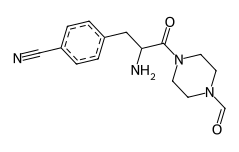 N#Cc1ccc(CC(N)C(=O)N2CCN(C=O)CC2)cc1